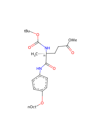 CCCCCCCCOc1ccc(NC(=O)[C@](C)(CCC(=O)OC)NC(=O)OC(C)(C)C)cc1